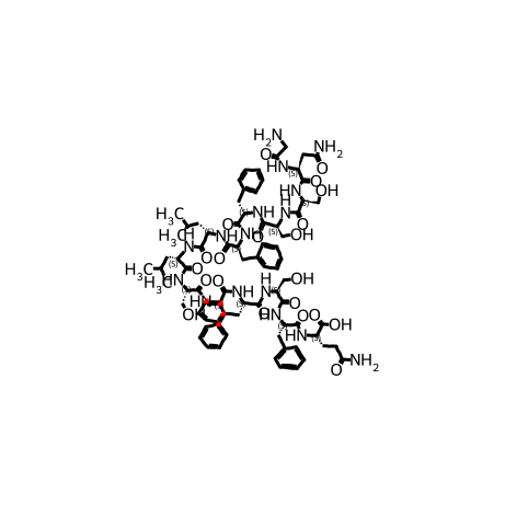 CC(C)C[C@H](NC(=O)[C@H](Cc1ccccc1)NC(=O)[C@H](Cc1ccccc1)NC(=O)[C@H](CO)NC(=O)[C@H](CO)NC(=O)[C@H](CC(N)=O)NC(=O)CN)C(=O)N[C@@H](CC(C)C)C(=O)N[C@@H](CO)C(=O)N[C@@H](Cc1ccccc1)C(=O)N[C@@H](Cc1ccccc1)C(=O)N[C@@H](CO)C(=O)N[C@@H](Cc1ccccc1)C(=O)N[C@@H](CCC(N)=O)C(=O)O